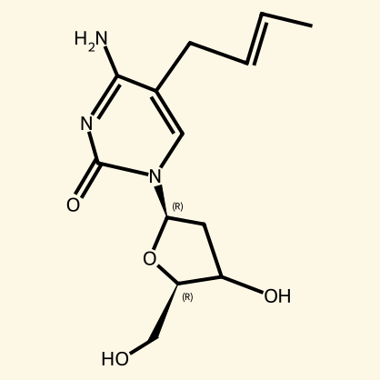 CC=CCc1cn([C@H]2CC(O)[C@@H](CO)O2)c(=O)nc1N